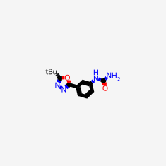 CC(C)(C)c1nnc(-c2cccc(NC(N)=O)c2)o1